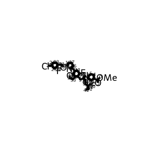 COC(=O)c1ccc2nc(Cc3c(F)cc(-c4cccc(OCc5ccc(Cl)cc5F)n4)c4c3CCO4)n(CC3(CF)CC3)c2c1